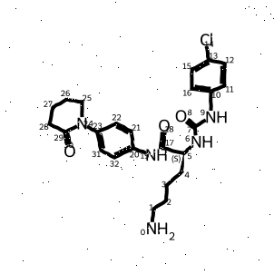 NCCCC[C@H](NC(=O)Nc1ccc(Cl)cc1)C(=O)Nc1ccc(N2CCCCC2=O)cc1